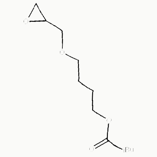 CCC(C)C(=O)OCCCCOCC1CO1